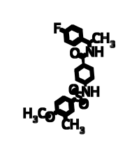 COc1ccc(S(=O)(=O)N[C@H]2CC[C@H](C(=O)N[C@H](C)c3ccc(F)cc3)CC2)cc1C